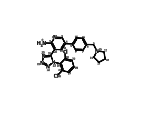 Nc1ncc(-c2ccc(CN3CCCC3)cc2)cc1-c1nnnn1-c1c(Cl)cccc1Cl